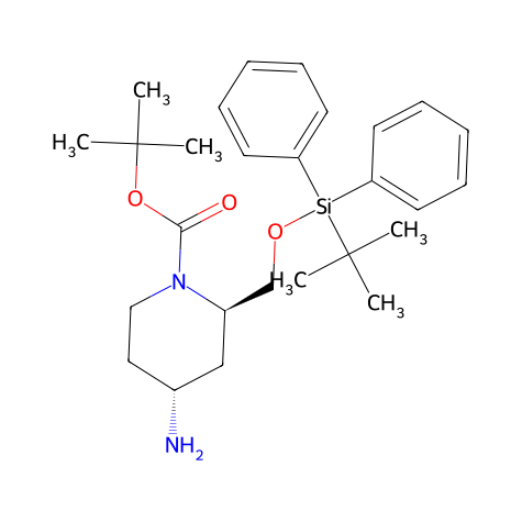 CC(C)(C)OC(=O)N1CC[C@@H](N)C[C@@H]1CO[Si](c1ccccc1)(c1ccccc1)C(C)(C)C